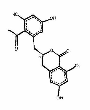 CC(=O)c1c(O)cc(O)cc1C[C@@H]1Cc2cc(O)cc(O)c2C(=O)O1